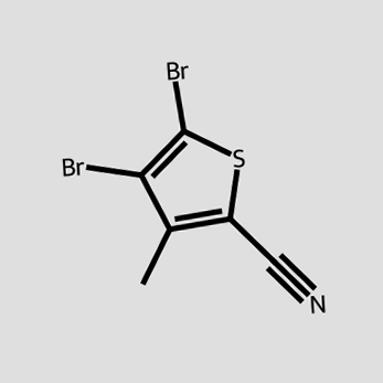 Cc1c(C#N)sc(Br)c1Br